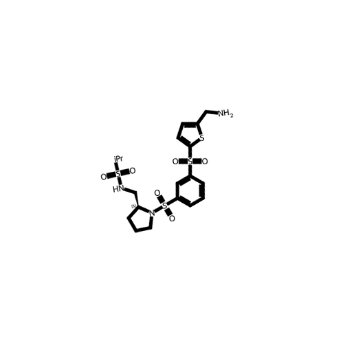 CC(C)S(=O)(=O)NC[C@@H]1CCCN1S(=O)(=O)c1cccc(S(=O)(=O)c2ccc(CN)s2)c1